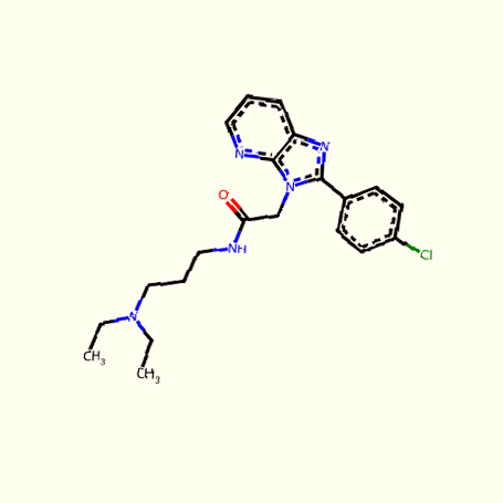 CCN(CC)CCCNC(=O)Cn1c(-c2ccc(Cl)cc2)nc2cccnc21